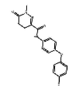 CN1N=C(C(=O)Nc2ccc(Oc3ccc(Cl)cc3)cc2)CCC1=O